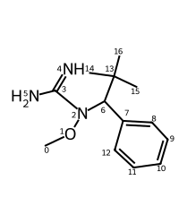 CON(C(=N)N)C(c1ccccc1)C(C)(C)C